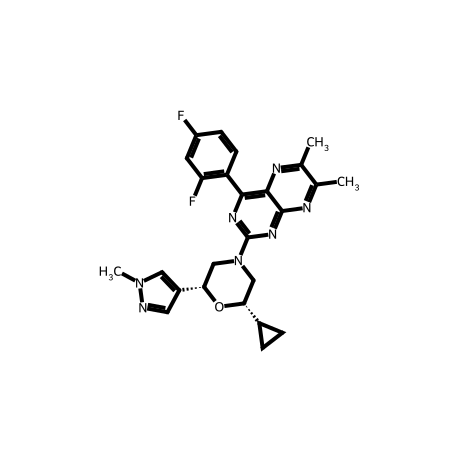 Cc1nc2nc(N3C[C@@H](c4cnn(C)c4)O[C@@H](C4CC4)C3)nc(-c3ccc(F)cc3F)c2nc1C